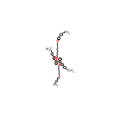 CCCC1CCC(c2ccc(OCCCCCCCCCCCC(=O)Oc3c(-c4ccc(C5CCC(CCC)CC5)cc4)cc4ccccc4c3-c3c(OC(=O)CCCCCCCCCCCOc4ccc(C5CCC(CCC)CC5)cc4)c(-c4ccc(C5CCC(CCC)CC5)cc4)cc4ccccc34)cc2)CC1